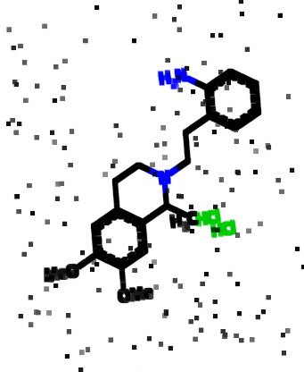 COc1cc2c(cc1OC)C(C)N(CCc1ccccc1N)CC2.Cl.Cl